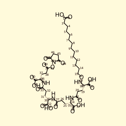 O=C(O)CCCCCCCCCCCCCON[C@@H](CCC(=O)N[C@@H](CCC(=O)N[C@@H](CCC(=O)N[C@@H](CCC(=O)ON1C(=O)CCC1=O)C(=O)O)C(=O)O)C(=O)O)C(=O)O